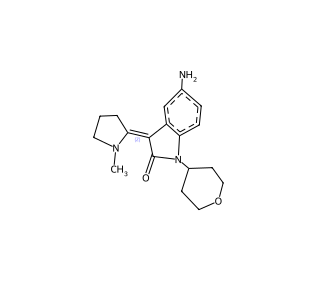 CN1CCC/C1=C1/C(=O)N(C2CCOCC2)c2ccc(N)cc21